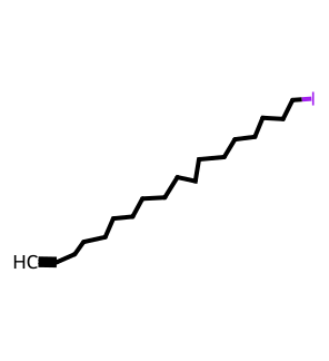 C#CCCCCCCCCCCCCCCCCI